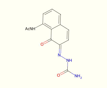 CC(=O)Nc1cccc2c1C(=O)C(=NNC(N)=O)C=C2